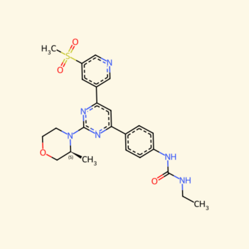 CCNC(=O)Nc1ccc(-c2cc(-c3cncc(S(C)(=O)=O)c3)nc(N3CCOC[C@@H]3C)n2)cc1